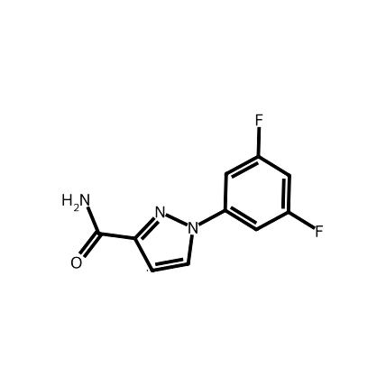 NC(=O)c1[c]cn(-c2cc(F)cc(F)c2)n1